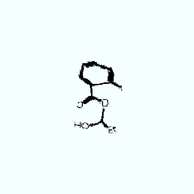 CCC(O)OC(=O)c1ccccc1I